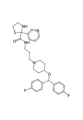 O=C(NCCCN1CCC(OC(c2ccc(F)cc2)c2ccc(F)cc2)CC1)C1(c2cccnc2)NCCS1